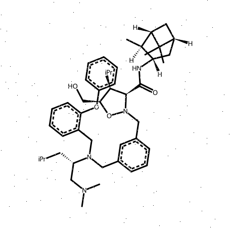 CC(C)C[C@@H](CN(C)C)N(Cc1cccc(CN2O[C@@H](CO)[C@@H](C(C)C)[C@H]2C(=O)N[C@H]2C[C@H]3C[C@@H]([C@@H]2C)C3(C)C)c1)Cc1ccccc1Oc1ccccc1